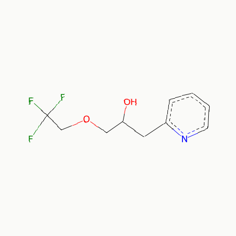 OC(COCC(F)(F)F)Cc1ccccn1